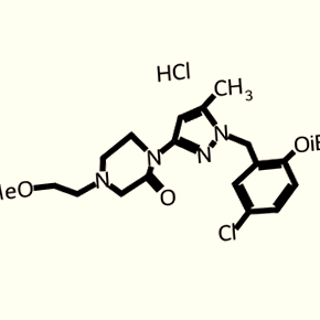 COCCN1CCN(c2cc(C)n(Cc3cc(Cl)ccc3OCC(C)C)n2)C(=O)C1.Cl